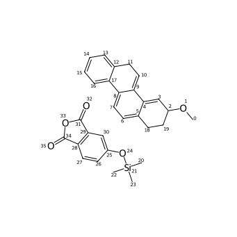 COC1C=c2c(ccc3c2=CCc2ccccc2-3)CC1.C[Si](C)(C)Oc1ccc2c(c1)C(=O)OC2=O